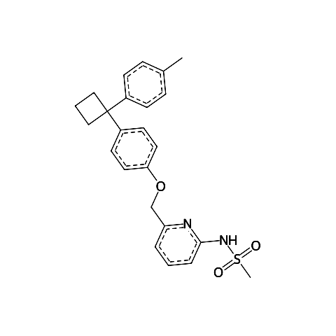 Cc1ccc(C2(c3ccc(OCc4cccc(NS(C)(=O)=O)n4)cc3)CCC2)cc1